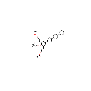 C=C(C)C(=O)OCCCc1cc(C2CCC(C3CCC(C4CCCCC4)CC3)CC2)cc(CCCOC(=O)C(=C)C)c1OCCC(C)(CO)CO